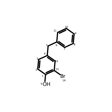 Oc1ccc(Cc2ccccc2)cc1Br